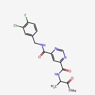 COC(=O)C(C)NC(=O)c1cc(C(=O)NCc2ccc(F)c(Cl)c2)ncn1